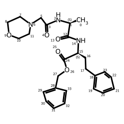 C[C@H](NC(=O)CN1CCOCC1)C(=O)N[C@@H](CCc1ccccc1)C(=O)OCc1ccccc1